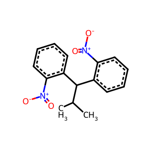 CC(C)C(c1ccccc1[N+](=O)[O-])c1ccccc1[N+](=O)[O-]